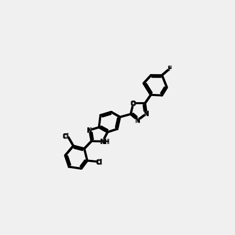 Fc1ccc(-c2nnc(-c3ccc4nc(-c5c(Cl)cccc5Cl)[nH]c4c3)o2)cc1